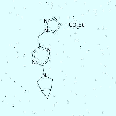 CCOC(=O)c1cnn(Cc2cnc(N3CC4CC4C3)cn2)c1